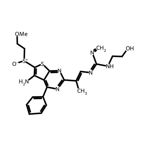 C=N/C(=N\C=C(/C)c1nc(-c2ccccc2)c2c(N)c([S+]([O-])CCOC)sc2n1)NCCO